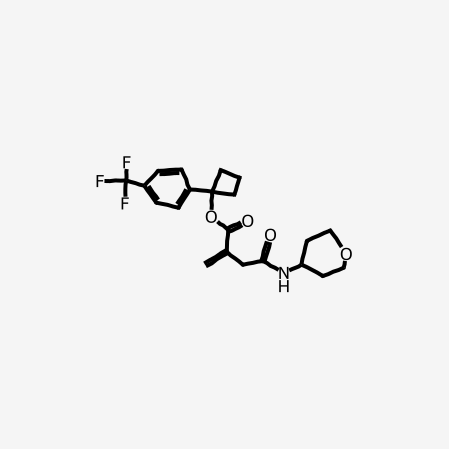 C=C(CC(=O)NC1CCOCC1)C(=O)OC1(c2ccc(C(F)(F)F)cc2)CCC1